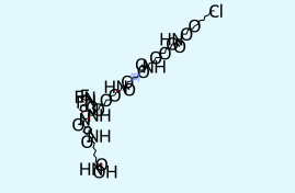 O=C(CCCCCCC(=O)Nc1ccc(C(=O)N(CCNC(=O)OCCOCCOCCNC(=O)OC/C=C/COC(=O)NCCOCCOCCOC(=O)NCCOCCOCCCCCCCl)Cc2ccc(C3(C(F)(F)F)N=N3)cc2)cc1)NO